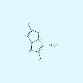 CCOC(=O)C1=C(C)OC2C=C(C)CC12